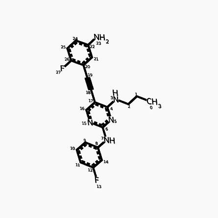 CCCNc1nc(Nc2cccc(F)c2)ncc1C#Cc1cc(N)ccc1F